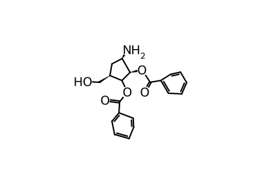 N[C@@H]1C[C@H](CO)C(OC(=O)c2ccccc2)[C@@H]1OC(=O)c1ccccc1